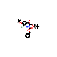 CC(C)(C)Oc1ccc(C(=O)[C@@H](CO[Si](C)(C)C(C)(C)C)NC(=O)OCc2ccccc2)cc1Cl